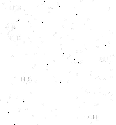 BC1CC2C(c3ccc(O)cc31)C(B)CC1(B)C2CCC1(B)B